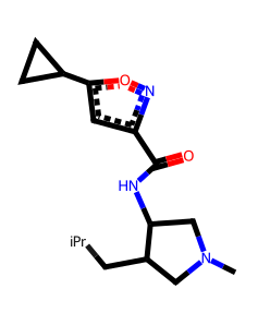 CC(C)CC1CN(C)CC1NC(=O)c1cc(C2CC2)on1